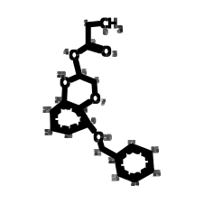 CCC(=O)OC1COc2c(OCc3ccccc3)cccc2O1